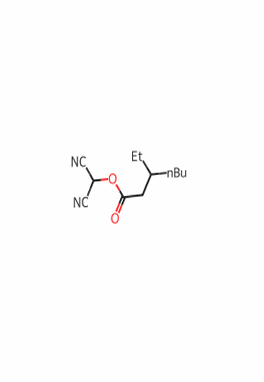 CCCCC(CC)CC(=O)OC(C#N)C#N